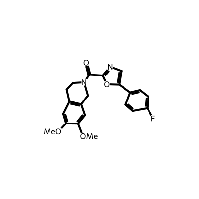 COc1cc2c(cc1OC)CN(C(=O)c1ncc(-c3ccc(F)cc3)o1)CC2